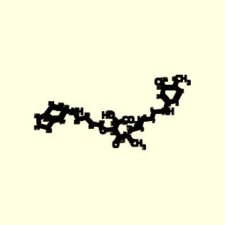 Cc1ccc(NCCCCCN(C)C(=O)C(OCCCCNc2ccc3c(c2)CCC3)C(O)C(=O)O)cc1Cl